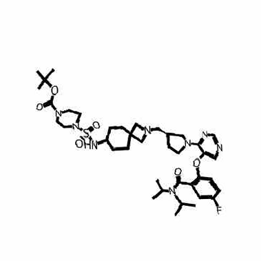 CC(C)N(C(=O)c1cc(F)ccc1Oc1cncnc1N1CC[C@@H](CN2CC3(CCC(NS(=O)(=O)N4CCN(C(=O)OC(C)(C)C)CC4)CC3)C2)C1)C(C)C